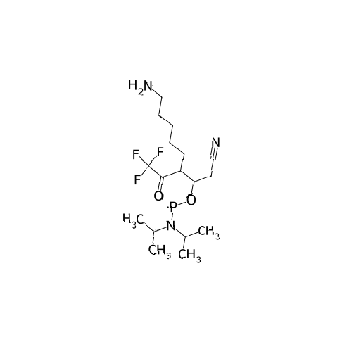 CC(C)N([P]OC(CC#N)C(CCCCCN)C(=O)C(F)(F)F)C(C)C